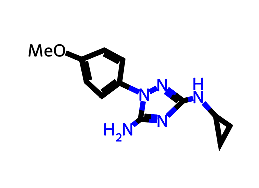 COc1ccc(-n2nc(NC3CC3)nc2N)cc1